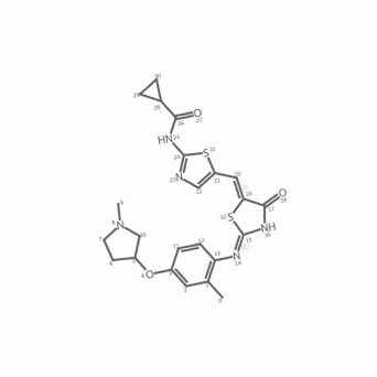 Cc1cc(OC2CCN(C)C2)ccc1/N=C1/NC(=O)/C(=C/c2cnc(NC(=O)C3CC3)s2)S1